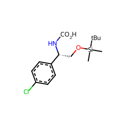 CC(C)(C)[Si](C)(C)OC[C@@H](NC(=O)O)c1ccc(Cl)cc1